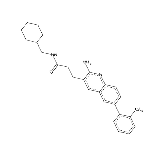 Cc1ccccc1-c1ccc2nc(N)c(CCC(=O)NCC3CCCCC3)cc2c1